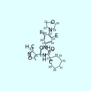 Cc1nocc1C(=O)NC(C(=O)Nc1cc(F)c(N2CCOCC2)c(F)c1)C1CCCCCCC1